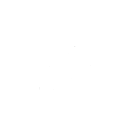 O=[N+]([O-])c1cc(CF)ccc1Br